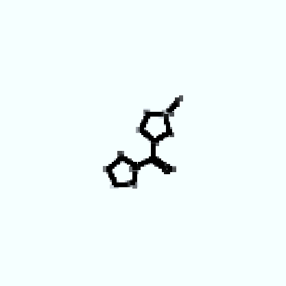 O=C(C1CCN(I)C1)N1CCCC1